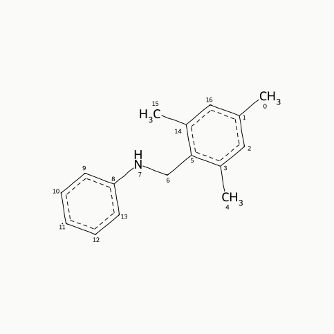 Cc1cc(C)c(CNc2cc[c]cc2)c(C)c1